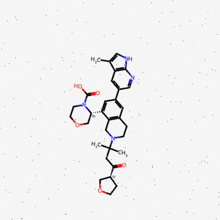 Cc1c[nH]c2ncc(-c3cc4c(c([C@@H]5COCCN5C(=O)O)c3)CN(C(C)(C)CC(=O)[C@H]3CCOC3)CC4)cc12